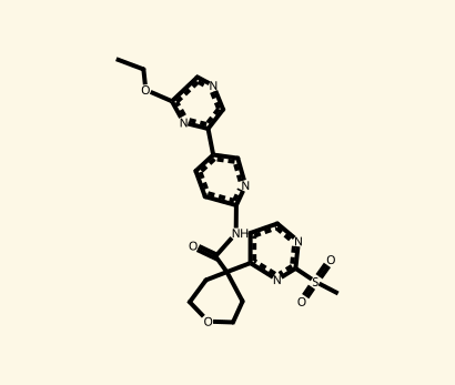 CCOc1cncc(-c2ccc(NC(=O)C3(c4ccnc(S(C)(=O)=O)n4)CCOCC3)nc2)n1